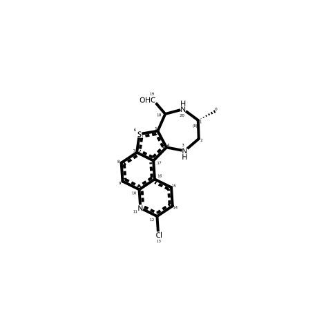 C[C@@H]1CNc2c(sc3ccc4nc(Cl)ccc4c23)C(C=O)N1